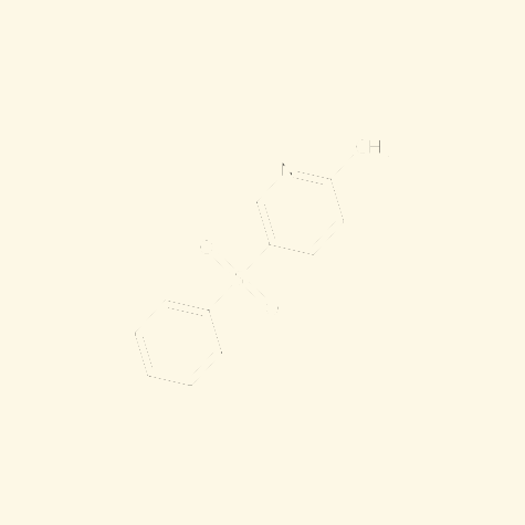 Cc1ccc(S(=O)(=O)c2ccccc2)cn1